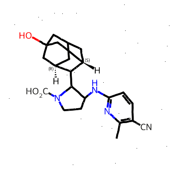 Cc1nc(NC2CCN(C(=O)O)C2C2[C@@H]3CC4C[C@H]2CC(O)(C4)C3)ccc1C#N